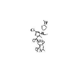 CCN(c1cc(Cl)cc(C(=O)NCc2c3n(c(C)cc2=O)CCO3)c1C)[C@H]1CC[C@H](N(C)C)CC1